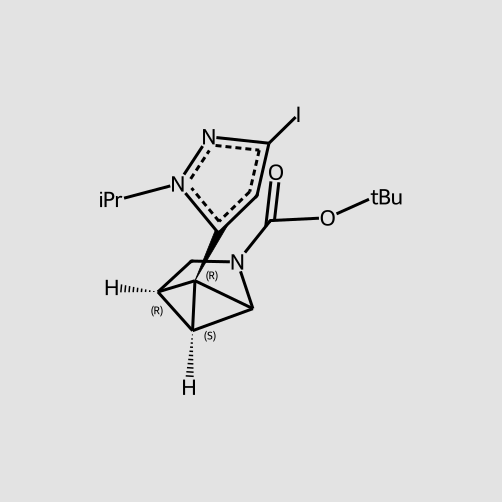 CC(C)n1nc(I)cc1[C@@]12C3[C@H]1[C@H]2CN3C(=O)OC(C)(C)C